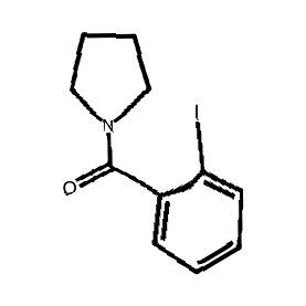 O=C(c1ccccc1I)N1CCCC1